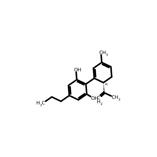 C=C(C)[C@H]1CC=C(C)C=C1c1c(O)cc(CCC)cc1O